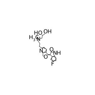 CN(CCCc1ccc2c(n1)CO/C2=C1/C(=O)Nc2ccc(F)cc21)CC(O)CO